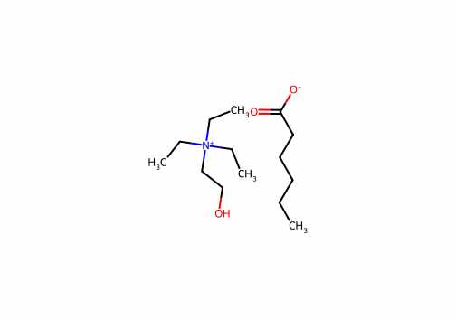 CCCCCC(=O)[O-].CC[N+](CC)(CC)CCO